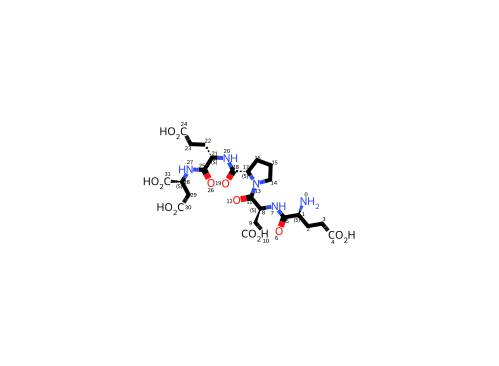 N[C@@H](CCC(=O)O)C(=O)N[C@@H](CC(=O)O)C(=O)N1CCC[C@H]1C(=O)N[C@@H](CCC(=O)O)C(=O)N[C@@H](CC(=O)O)C(=O)O